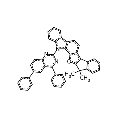 CC1(C)c2ccccc2-c2c1oc1c2ccc2c3ccccc3n(-c3nc(-c4ccccc4)c4cc(-c5ccccc5)ccc4n3)c21